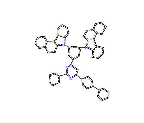 c1ccc(-c2ccc(-c3cc(-c4cc(-n5c6ccccc6c6c7ccccc7ccc65)cc(-n5c6ccccc6c6c7ccccc7ccc65)c4)nc(-c4ccccc4)n3)cc2)cc1